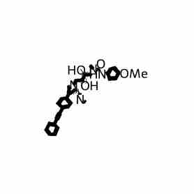 COc1ccc(NC(=O)N(C)C[C@@H](O)[C@@H](O)CN2CC(c3ccc(C#Cc4ccccc4)cc3)[C@H]2CN(C)C)cc1